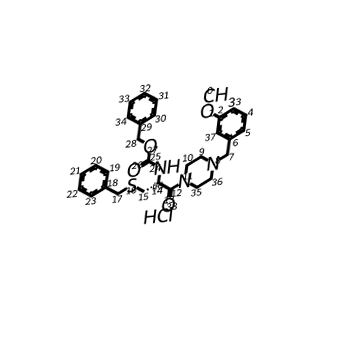 COc1cccc(CN2CCN(C(=O)[C@H](CSCc3ccccc3)NC(=O)OCc3ccccc3)CC2)c1.Cl